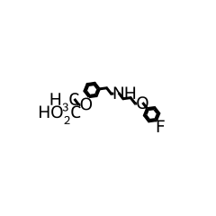 CC(Oc1cccc(CCNCCCOc2ccc(F)cc2)c1)C(=O)O